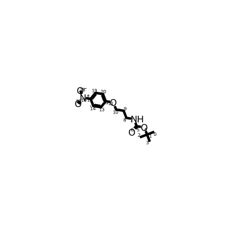 CC(C)(C)OC(=O)NCCCOc1c[c]c([N+](=O)[O-])cc1